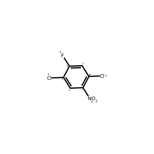 O=[N+]([O-])c1cc(Cl)c(F)cc1Cl